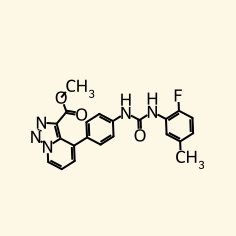 COC(=O)c1nnn2cccc(-c3ccc(NC(=O)Nc4cc(C)ccc4F)cc3)c12